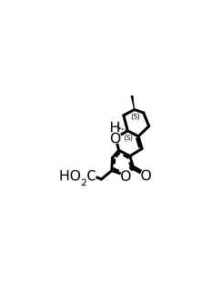 C[C@H]1CCC2=Cc3c(cc(CC(=O)O)oc3=O)O[C@H]2C1